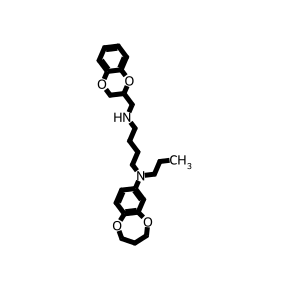 CCCN(CCCCNCC1COc2ccccc2O1)c1ccc2c(c1)OCCCO2